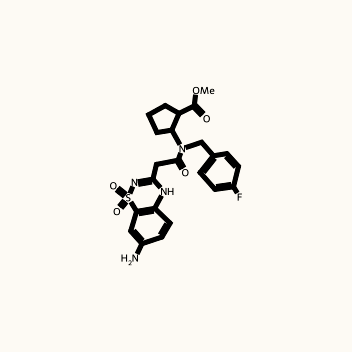 COC(=O)C1CCCC1N(Cc1ccc(F)cc1)C(=O)CC1=NS(=O)(=O)c2cc(N)ccc2N1